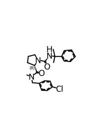 CN(Cc1ccc(Cl)cc1)C(=O)[C@H]1CCCN1C(=O)NC(C)(C)c1ccccc1